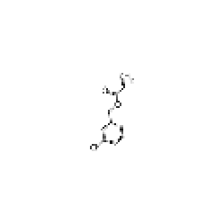 C=CC(=O)OCc1cccc(Cl)c1